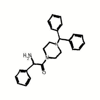 NC(C(=O)N1CCN(C(c2ccccc2)c2ccccc2)CC1)c1ccccc1